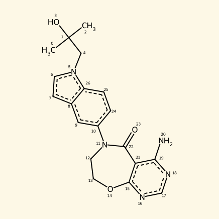 CC(C)(O)Cn1ccc2cc(N3CCOc4ncnc(N)c4C3=O)ccc21